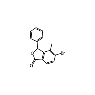 Cc1c(Br)ccc2c1C(c1ccccc1)OC2=O